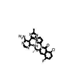 Cc1noc(-c2c(N)ncnc2N[C@@H](C)c2cc3c(F)ccc(Cl)c3c(=O)n2-c2cc[nH]n2)n1